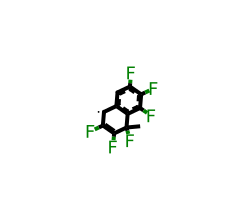 CC1(F)C(F)=C(F)[CH]c2cc(F)c(F)c(F)c21